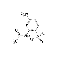 O=C(Nc1cc([N+](=O)[O-])ccc1S(=O)(=O)Cl)C(F)(F)F